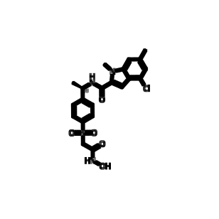 Cc1cc(Cl)c2cc(C(=O)N[C@H](C)c3ccc(S(=O)(=O)CC(=O)NO)cc3)n(C)c2c1